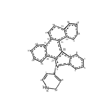 C1=CC(n2c3ccccc3c3c4c5ccccc5ccc4c4ccccc4c32)=CCN1